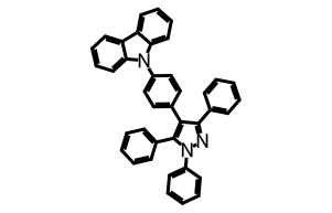 c1ccc(-c2nn(-c3ccccc3)c(-c3ccccc3)c2-c2ccc(-n3c4ccccc4c4ccccc43)cc2)cc1